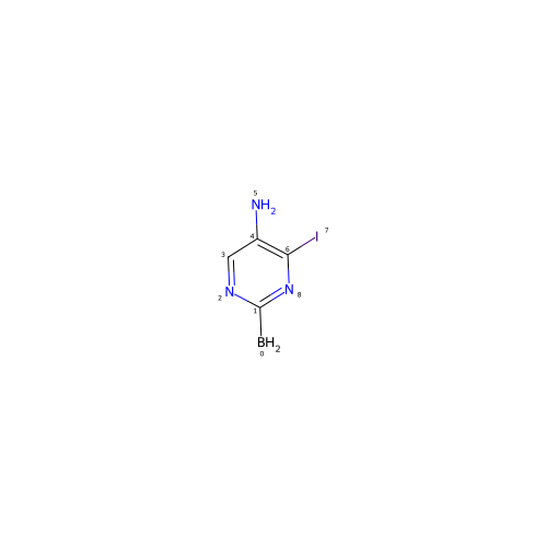 Bc1ncc(N)c(I)n1